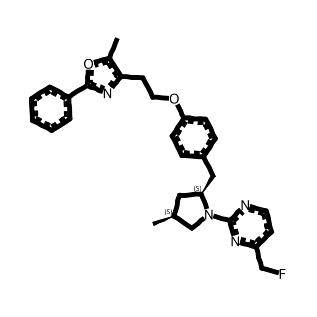 Cc1oc(-c2ccccc2)nc1CCOc1ccc(C[C@@H]2C[C@H](C)CN2c2nccc(CF)n2)cc1